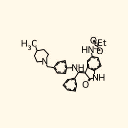 CCS(=O)(=O)Nc1ccc2c(c1)C(=C(Nc1ccc(CN3CCC(C)CC3)cc1)c1ccccc1)C(=O)N2